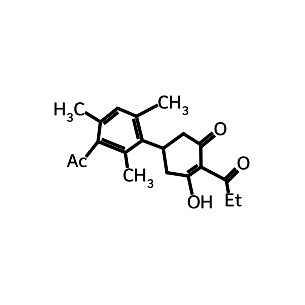 CCC(=O)C1=C(O)CC(c2c(C)cc(C)c(C(C)=O)c2C)CC1=O